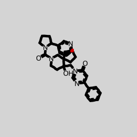 O=C(N1CCC(O)(Cn2cnc(-c3ccccc3)cc2=O)C2(CCCC2)C1)N1CCCC1c1cccnc1